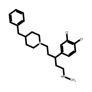 CNCCC(CCN1CCC(Cc2ccccc2)CC1)c1ccc(Cl)c(Cl)c1